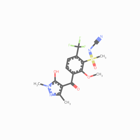 COc1c(C(=O)c2c(C)nn(C)c2O)ccc(C(F)(F)F)c1S(C)(=O)=NC#N